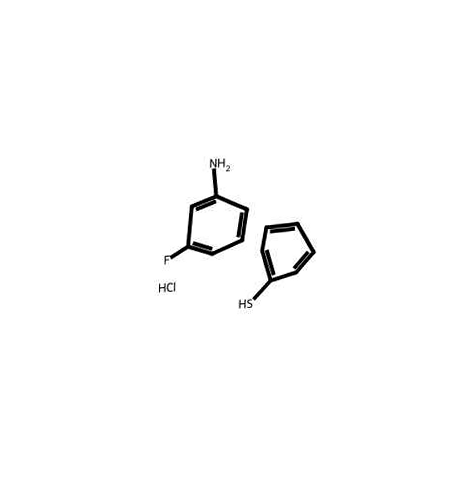 Cl.Nc1cccc(F)c1.Sc1ccccc1